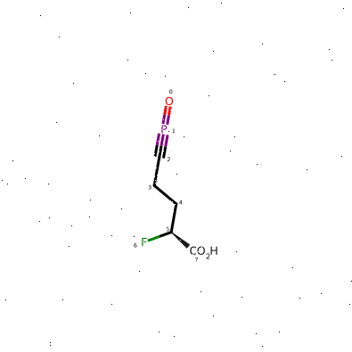 O=P#CCC[C@H](F)C(=O)O